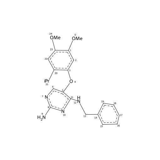 COc1cc(Oc2cnc(N)nc2NCc2ccccc2)c(C(C)C)cc1OC